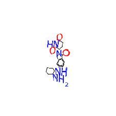 N[C@H]1CCCC[C@@H]1Nc1ccc2c(c1)CN(C1CCC(=O)NC1=O)C2=O